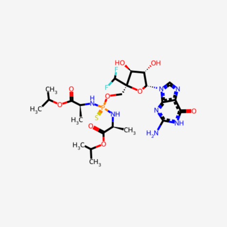 CC(C)OC(=O)[C@H](C)NP(=S)(N[C@@H](C)C(=O)OC(C)C)OC[C@@]1(C(F)F)O[C@@H](n2cnc3c(=O)[nH]c(N)nc32)[C@@H](O)[C@@H]1O